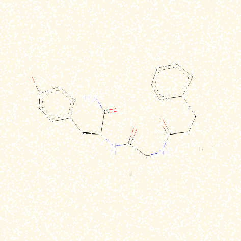 CC(=O)N[C@@H](Cc1ccccc1)C(=O)N[C@@H](C(=O)N[C@@H](Cc1ccc(O)cc1)C(N)=O)C(C)C